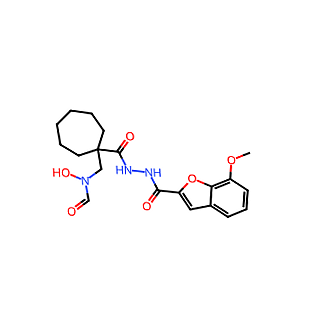 COc1cccc2cc(C(=O)NNC(=O)C3(CN(O)C=O)CCCCCC3)oc12